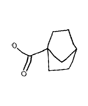 [O]C(=O)C12CCC(CC1)C2